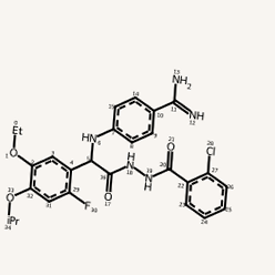 CCOc1cc(C(Nc2ccc(C(=N)N)cc2)C(=O)NNC(=O)c2ccccc2Cl)c(F)cc1OC(C)C